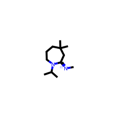 C/N=C1\CC(C)(C)CCCN1C(C)C